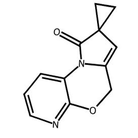 O=C1N2C(=CC13CC3)COc1ncccc12